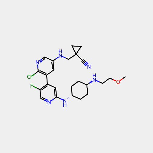 COCCN[C@H]1CC[C@H](Nc2cc(-c3cc(NCC4(C#N)CC4)cnc3Cl)c(F)cn2)CC1